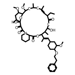 CCC1/C=C(\C)CC(C)CC(OC)C2OC(O)(C(=O)C(=O)N3CCCCC3C(=O)OC(C(C)=CC3CCC(OCCc4ccccc4)C(OC)C3)C(C)C(O)CC1=O)C(C)CC2OC